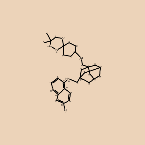 CC1(C)COC2(CCC(NCC34CC5CC(CC(CNc6ccnc7cc(Cl)ccc67)(C5)C3)C4)CC2)OO1